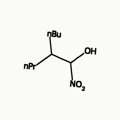 CCCCC(CCC)C(O)[N+](=O)[O-]